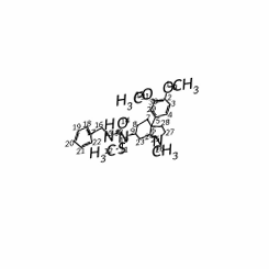 COc1ccc(C23CCC(N(SC)C(=O)NCc4ccccc4)CC2N(C)CC3)cc1OC